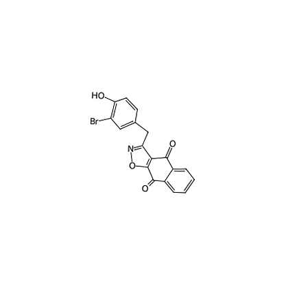 O=C1c2ccccc2C(=O)c2c(Cc3ccc(O)c(Br)c3)noc21